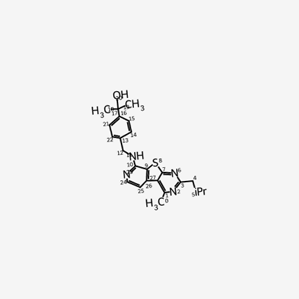 Cc1nc(CC(C)C)nc2sc3c(NCc4ccc(C(C)(C)O)cc4)nccc3c12